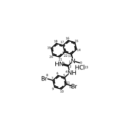 CN(C(=N)Nc1cc(Br)ccc1Br)c1cccc2ccccc12.Cl